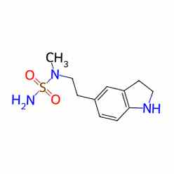 CN(CCc1ccc2c(c1)CCN2)S(N)(=O)=O